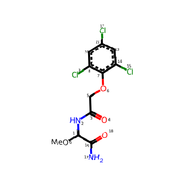 COC(NC(=O)COc1c(Cl)cc(Cl)cc1Cl)C(N)=O